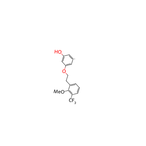 COc1c(CCOc2c[c]cc(O)c2)cccc1C(F)(F)F